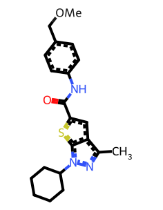 COCc1ccc(NC(=O)c2cc3c(C)nn(C4CCCCC4)c3s2)cc1